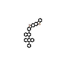 c1ccc(-c2c3ccccc3c(-c3ccc(-c4ccc5sc6cc7cc8c(cc7cc6c5c4)sc4ccccc48)c4ccccc34)c3ccccc23)cc1